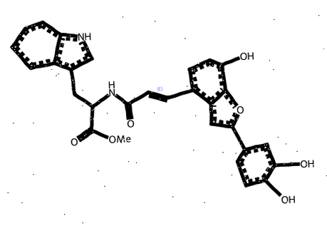 COC(=O)C(Cc1c[nH]c2ccccc12)NC(=O)/C=C/c1ccc(O)c2oc(-c3ccc(O)c(O)c3)cc12